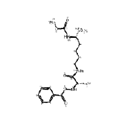 CC(C)[C@H](NOC(=O)c1ccccc1)C(=O)NCCCC[C@H](NC(=O)OC(C)(C)C)C(=O)O